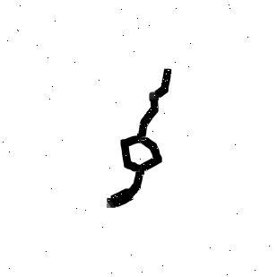 CCOCCN1CCN(CC#N)CC1